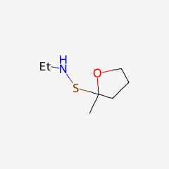 CCNSC1(C)CCCO1